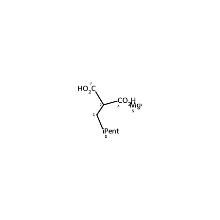 CCCC(C)CC(C(=O)O)C(=O)O.[Mg]